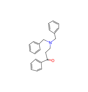 O=C(CCN(Cc1ccccc1)Cc1ccccc1)c1ccccc1